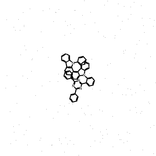 c1ccc(-c2nc(-c3ccccc3)nc(-c3ccccc3-n3c4ccccc4c4c5c(ccc6c7ccccc7n(-c7ccccc7)c65)ccc43)n2)cc1